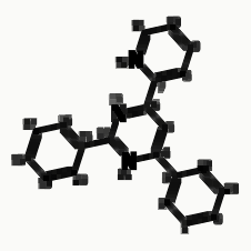 c1ccc(-c2cc(-c3ccccn3)nc(-c3ccccc3)n2)cc1